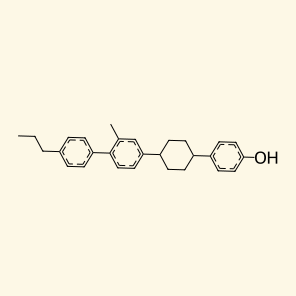 CCCc1ccc(-c2ccc(C3CCC(c4ccc(O)cc4)CC3)cc2C)cc1